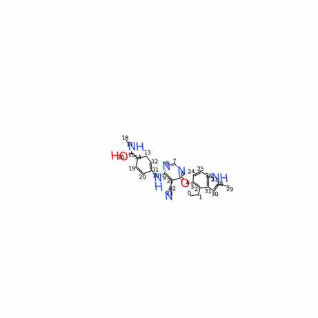 CCc1c(Oc2ncnc(NC3=CCC(C(O)NC)C=C3)c2C#N)ccc2[nH]c(C)cc12